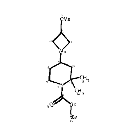 COC1CN(C2CCN(C(=O)OC(C)(C)C)C(C)(C)C2)C1